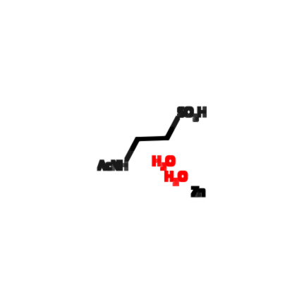 CC(=O)NCCS(=O)(=O)O.O.O.[Zn]